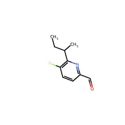 CCC(C)c1nc(C=O)ccc1F